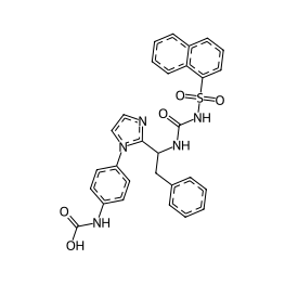 O=C(O)Nc1ccc(-n2ccnc2C(Cc2ccccc2)NC(=O)NS(=O)(=O)c2cccc3ccccc23)cc1